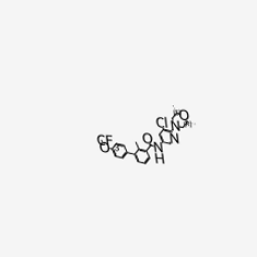 Cc1c(C(=O)Nc2cnc(N3C[C@@H](C)O[C@@H](C)C3)c(Cl)c2)cccc1-c1ccc(OC(F)(F)F)cc1